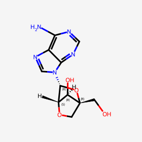 Nc1ncnc2c1ncn2[C@@H]1O[C@]2(CO)CO[C@H]1[C@H]2O